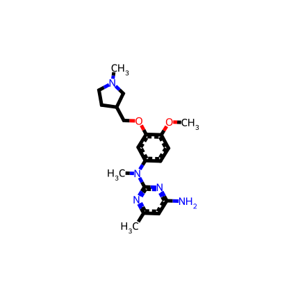 COc1ccc(N(C)c2nc(C)cc(N)n2)cc1OCC1CCN(C)C1